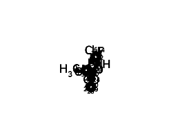 COc1ccc2c(S(=O)(=O)Nc3cc(F)c(Cl)cc3F)cn(S(=O)(=O)c3ccccc3)c2c1